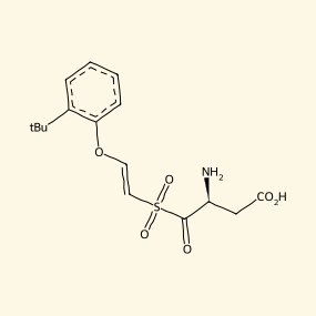 CC(C)(C)c1ccccc1OC=CS(=O)(=O)C(=O)[C@@H](N)CC(=O)O